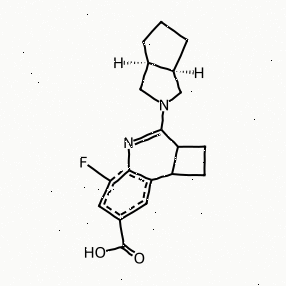 O=C(O)c1cc(F)c2c(c1)C1CCC1C(N1C[C@H]3CCC[C@H]3C1)=N2